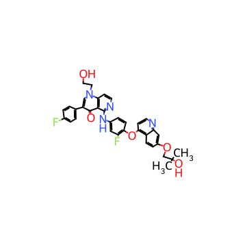 CC(C)(O)COc1ccc2c(Oc3ccc(Nc4nccc5c4c(=O)c(-c4ccc(F)cc4)cn5CCO)cc3F)ccnc2c1